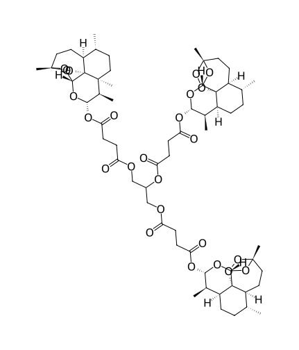 C[C@H]1[C@H](OC(=O)CCC(=O)OCC(COC(=O)CCC(=O)O[C@@H]2O[C@@H]3O[C@@]4(C)CC[C@H]5[C@H](C)CC[C@@](C)([C@H]2C)[C@@]35OO4)OC(=O)CCC(=O)O[C@@H]2O[C@@H]3O[C@@]4(C)CC[C@H]5[C@H](C)CC[C@@H]([C@H]2C)[C@@]35OO4)O[C@@H]2O[C@@]3(C)CC[C@H]4[C@H](C)CC[C@@H]1[C@@]24OO3